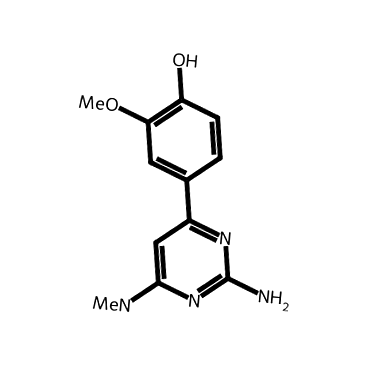 CNc1cc(-c2ccc(O)c(OC)c2)nc(N)n1